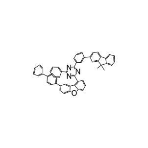 CC1(C)c2ccccc2-c2ccc(-c3cccc(-c4nc(-c5ccccc5)nc(-c5cccc6oc7ccc(-c8ccc(-c9ccccc9)cc8)cc7c56)n4)c3)cc21